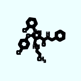 CCCNCc1c(C(=O)NCc2ccccc2)nn(-c2ccccc2Cl)c1Oc1ccc(Cl)cc1